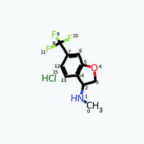 CNC1COc2cc(C(F)(F)F)ccc21.Cl